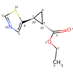 CCOC(=O)[C@H]1C[C@@H]1c1cncs1